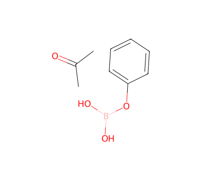 CC(C)=O.OB(O)Oc1ccccc1